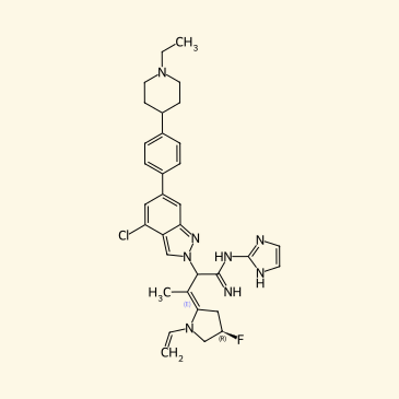 C=CN1C[C@H](F)C/C1=C(/C)C(C(=N)Nc1ncc[nH]1)n1cc2c(Cl)cc(-c3ccc(C4CCN(CC)CC4)cc3)cc2n1